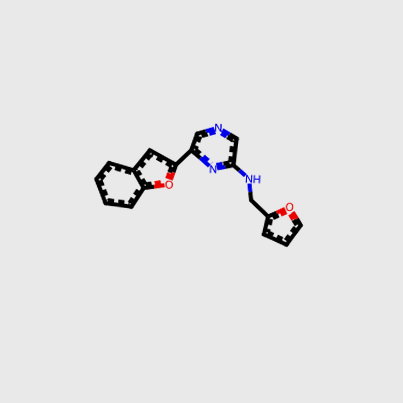 c1coc(CNc2cncc(-c3cc4ccccc4o3)n2)c1